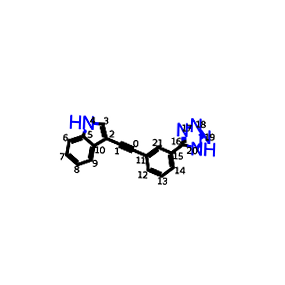 C(#Cc1c[nH]c2ccccc12)c1cccc(-c2nnn[nH]2)c1